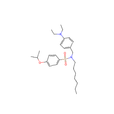 CCCCCCCN(Cc1ccc(N(CC)CC)cc1)S(=O)(=O)c1ccc(OC(C)C)cc1